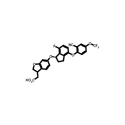 N#Cc1cc(OC(F)(F)F)ccc1Oc1ccc(F)c2c1CC[C@H]2Oc1ccc2c(c1)OCC2CC(=O)O